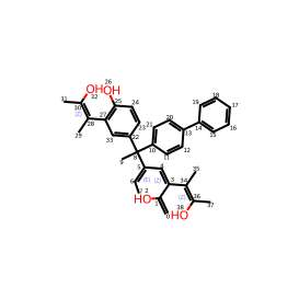 C=C(O)C(=C\C(=C/C)C(C)(c1ccc(-c2ccccc2)cc1)c1ccc(O)c(/C(C)=C(/C)O)c1)/C(C)=C(/C)O